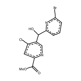 COC(=O)c1cc(Cl)c(C(O)c2cccc(Br)n2)cn1